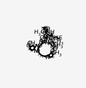 CC[C@@H]1[C@@H]2CN(C(=O)[C@H](C(C)(C)C)NC(=O)O[C@]3(C)CCC[C@H]3CCCCCc3nc4ccc(OC)cc4nc3O2)[C@@H]1C(=O)N[C@]1(C(=O)NS(=O)(=O)C2(C)CC2)C[C@H]1CCCF